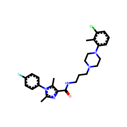 Cc1c(Cl)cccc1N1CCN(CCCNC(=O)c2nc(C)n(-c3ccc(F)cc3)c2C)CC1